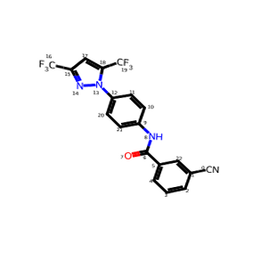 N#Cc1cccc(C(=O)Nc2ccc(-n3nc(C(F)(F)F)cc3C(F)(F)F)cc2)c1